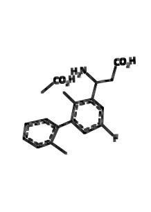 CC(=O)O.Cc1ccccc1-c1cc(F)cc(C(N)CC(=O)O)c1C